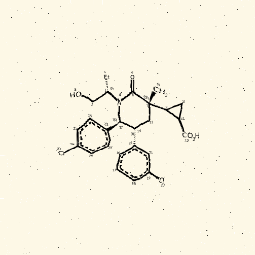 CC[C@@H](CO)N1C(=O)[C@](C)(C2CC2C(=O)O)C[C@H](c2cccc(Cl)c2)[C@H]1c1ccc(Cl)cc1